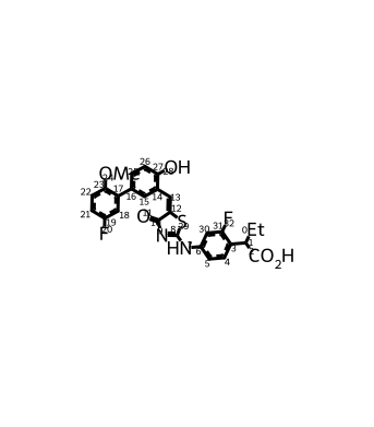 CCC(C(=O)O)c1ccc(NC2=NC(=O)/C(=C\c3cc(-c4cc(F)ccc4OC)ccc3O)S2)cc1F